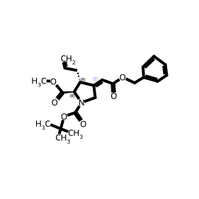 C=CC[C@@H]1/C(=C/C(=O)OCc2ccccc2)CN(C(=O)OC(C)(C)C)[C@H]1C(=O)OC